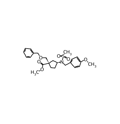 COC(=O)[C@@]1(COCc2ccccc2)CC[C@H](N(Cc2ccc(OC)cc2)S(C)(=O)=O)C1